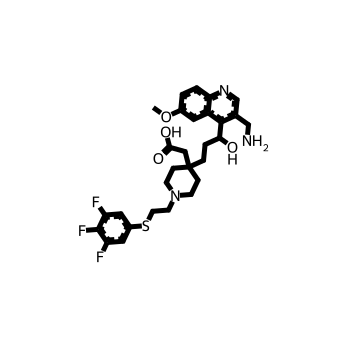 COc1ccc2ncc(CN)c(C(O)CCC3(CC(=O)O)CCN(CCSc4cc(F)c(F)c(F)c4)CC3)c2c1